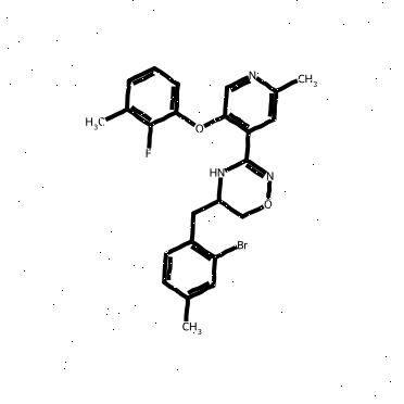 Cc1ccc(CC2CON=C(c3cc(C)ncc3Oc3cccc(C)c3F)N2)c(Br)c1